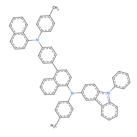 Cc1ccc(N(c2ccc(-c3ccc(N(c4ccc(C)cc4)c4ccc5c(c4)c4ccccc4n5-c4ccccc4)c4ccccc34)cc2)c2cccc3ccccc23)cc1